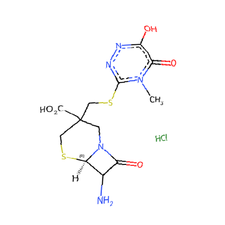 Cl.Cn1c(SCC2(C(=O)O)CS[C@@H]3C(N)C(=O)N3C2)nnc(O)c1=O